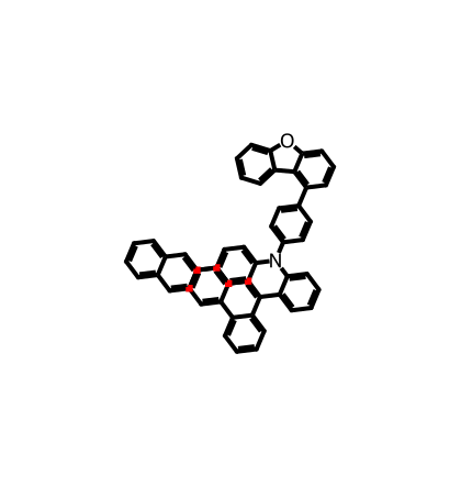 c1ccc(N(c2ccc(-c3ccc4ccccc4c3)cc2)c2ccc(-c3cccc4oc5ccccc5c34)cc2)c(-c2cc3ccccc3c3ccccc23)c1